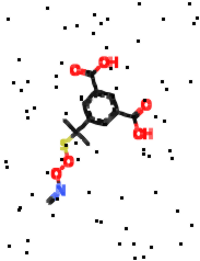 C=NOOSC(C)(C)c1cc(C(=O)O)cc(C(=O)O)c1